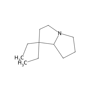 CCC1(CC)CCN2CCCC21